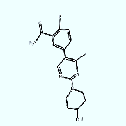 Cc1nc(N2CCC(O)CC2)ncc1-c1ccc(F)c(C(N)=O)c1